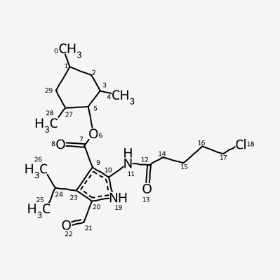 CC1CC(C)C(OC(=O)c2c(NC(=O)CCCCCl)[nH]c(C=O)c2C(C)C)C(C)C1